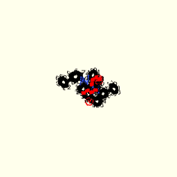 c1ccc(-c2cccc(N(c3ccccc3-c3ccccc3N(c3cccc(-c4ccccc4)c3)c3cccc4oc5ccccc5c34)c3cccc4oc5ccccc5c34)c2)cc1